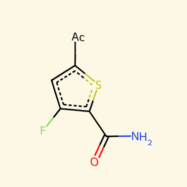 [CH2]C(=O)c1cc(F)c(C(N)=O)s1